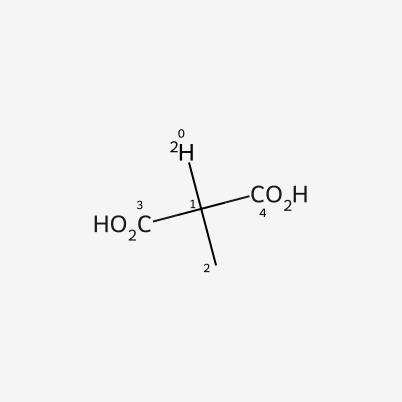 [2H]C(C)(C(=O)O)C(=O)O